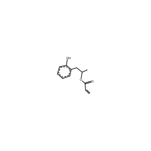 C=CC(=O)OC(C)Cc1c[c]ccc1O